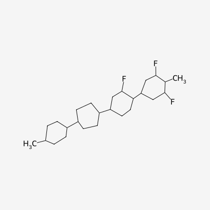 CC1CCC(C2CCC(C3CCC(C4CC(F)C(C)C(F)C4)C(F)C3)CC2)CC1